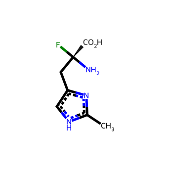 Cc1nc(C[C@@](N)(F)C(=O)O)c[nH]1